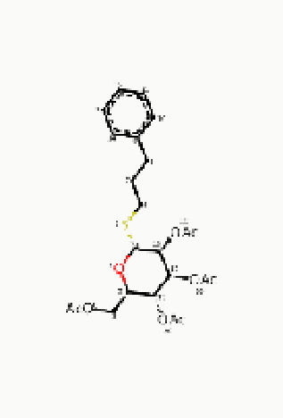 CC(=O)OC[C@H]1O[C@H](SCCCc2ccccc2)[C@@H](OC(C)=O)[C@@H](OC(C)=O)[C@@H]1OC(C)=O